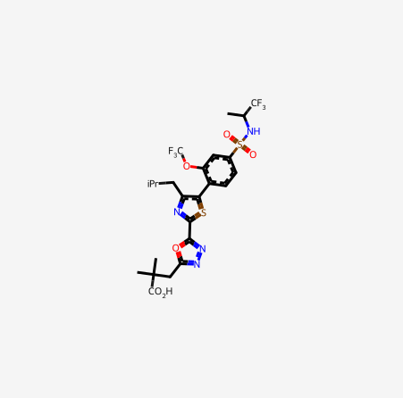 CC(C)Cc1nc(-c2nnc(CC(C)(C)C(=O)O)o2)sc1-c1ccc(S(=O)(=O)NC(C)C(F)(F)F)cc1OC(F)(F)F